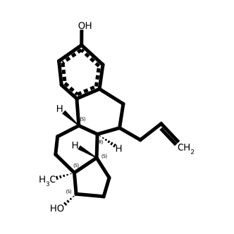 C=CCC1Cc2cc(O)ccc2[C@H]2CC[C@]3(C)[C@@H](O)CC[C@H]3[C@H]12